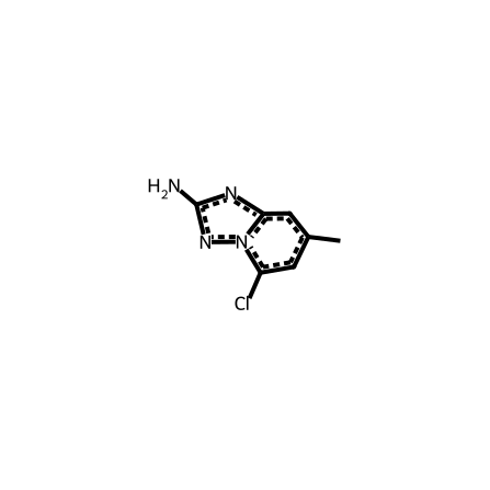 Cc1cc(Cl)n2nc(N)nc2c1